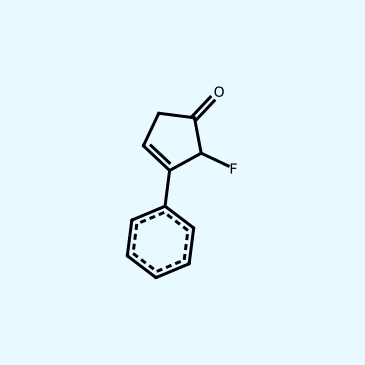 O=C1CC=C(c2ccccc2)C1F